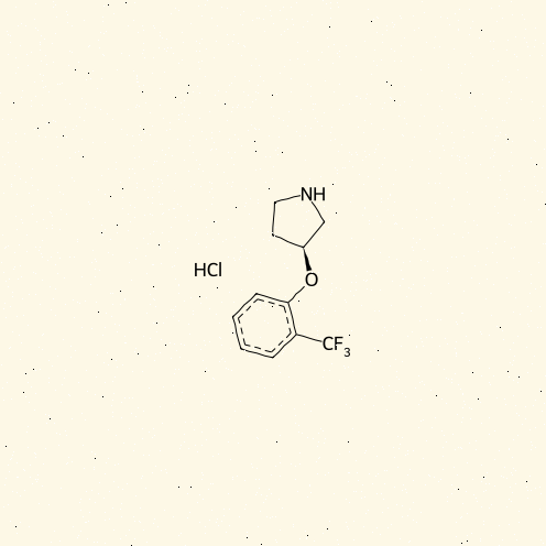 Cl.FC(F)(F)c1ccccc1O[C@H]1CCNC1